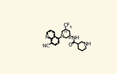 N#Cc1ccc(N2C[C@H](NC(=O)C3CCCNC3)C[C@H](C(F)(F)F)C2)c2cccnc12